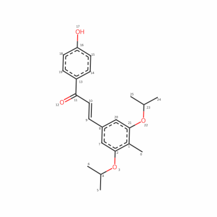 Cc1c(OC(C)C)cc(/C=C/C(=O)c2ccc(O)cc2)cc1OC(C)C